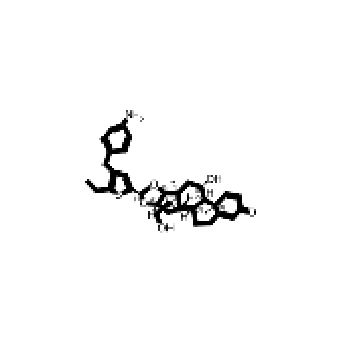 CCc1sc([C@@H]2O[C@@H]3C[C@H]4[C@@H]5CCC6=CC(=O)C=C[C@]6(C)[C@H]5[C@@H](O)C[C@]4(C)[C@]3(C(=O)CO)O2)cc1Cc1ccc(N)cc1